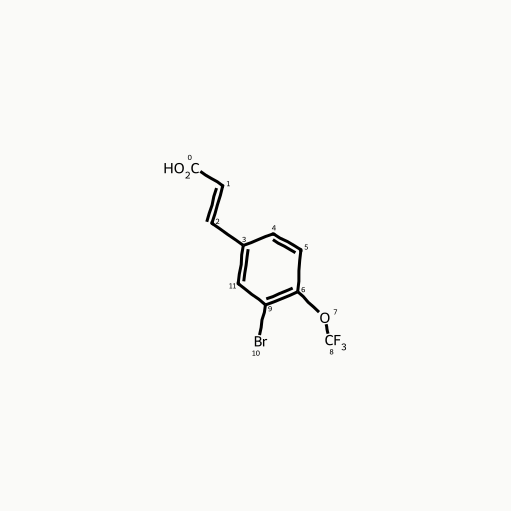 O=C(O)/C=C/c1ccc(OC(F)(F)F)c(Br)c1